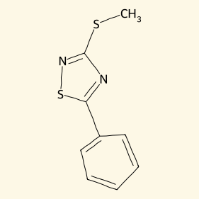 CSc1nsc(-c2ccccc2)n1